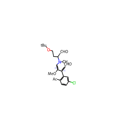 COC(=C/N(C)C(C=O)CCOC(C)(C)C)/C(=C\C=O)c1cc(Cl)ccc1C(C)=O